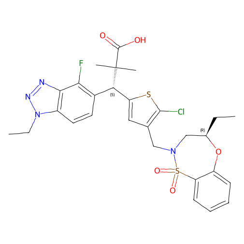 CC[C@@H]1CN(Cc2cc([C@H](c3ccc4c(nnn4CC)c3F)C(C)(C)C(=O)O)sc2Cl)S(=O)(=O)c2ccccc2O1